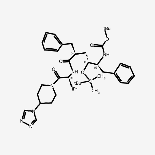 CC(C)[C@H](NC(=O)[C@@H](Cc1ccccc1)C[C@@H](O[Si](C)(C)C(C)(C)C)[C@H](Cc1ccccc1)NC(=O)OC(C)(C)C)C(=O)N1CCC(n2cnnc2)CC1